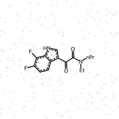 CCCN(CC)C(=O)C(=O)c1c[nH]c2c(F)c(F)ccc12